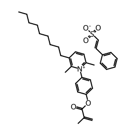 C=C(C)C(=O)Oc1ccc(-[n+]2c(C)ccc(CCCCCCCCC)c2C)cc1.O=S(=O)([O-])C=Cc1ccccc1